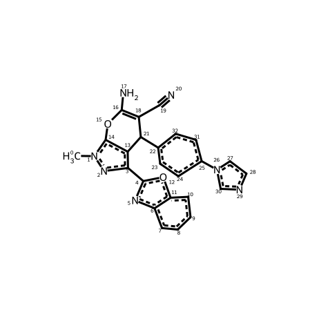 Cn1nc(-c2nc3ccccc3o2)c2c1OC(N)=C(C#N)C2c1ccc(-n2ccnc2)cc1